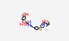 Cc1ccsc1C(=O)N1CCC(Sc2ccc(CCNC[C@H](O)COc3ccc(O)cc3)cc2)CC1